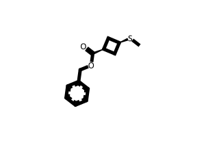 CS[C@H]1C[C@@H](C(=O)OCc2ccccc2)C1